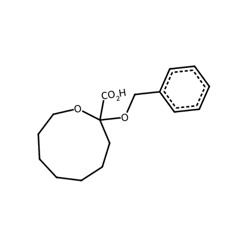 O=C(O)C1(OCc2ccccc2)CCCCCCCO1